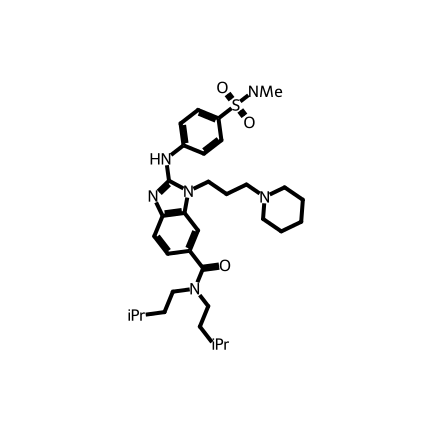 CNS(=O)(=O)c1ccc(Nc2nc3ccc(C(=O)N(CCC(C)C)CCC(C)C)cc3n2CCCN2CCCCC2)cc1